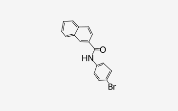 O=C(Nc1ccc(Br)cc1)c1ccc2ccccc2c1